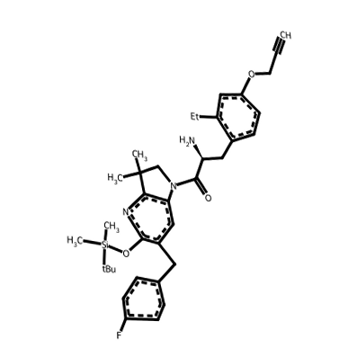 C#CCOc1ccc(C[C@H](N)C(=O)N2CC(C)(C)c3nc(O[Si](C)(C)C(C)(C)C)c(Cc4ccc(F)cc4)cc32)c(CC)c1